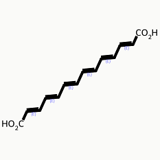 O=C(O)/C=C/C=C/C=C/C=C/C=C/C=C/C(=O)O